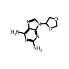 Nc1nc(N)c2ncn(C3COCO3)c2n1